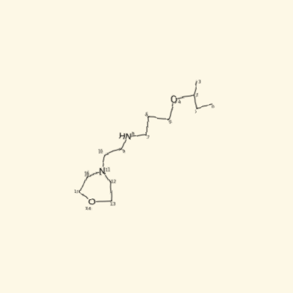 CCC(C)OCCCNCCN1CCOCC1